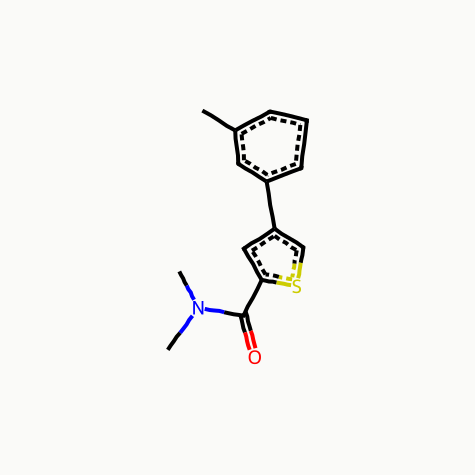 Cc1cccc(-c2csc(C(=O)N(C)C)c2)c1